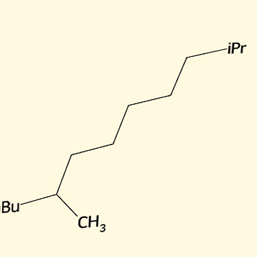 CCCCC(C)CCCCCC(C)C